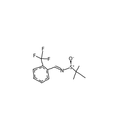 CC(C)(C)[S@+]([O-])N=Cc1ccccc1C(F)(F)F